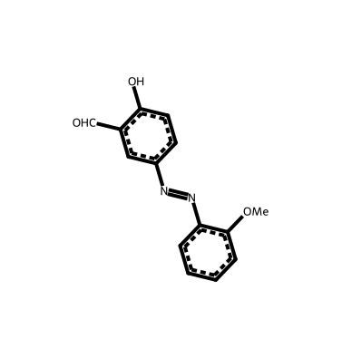 COc1ccccc1N=Nc1ccc(O)c(C=O)c1